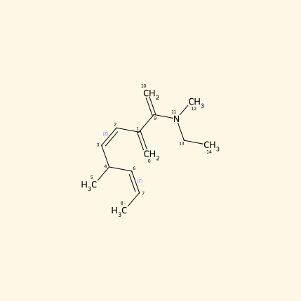 C=C(/C=C\C(C)/C=C\C)C(=C)N(C)CC